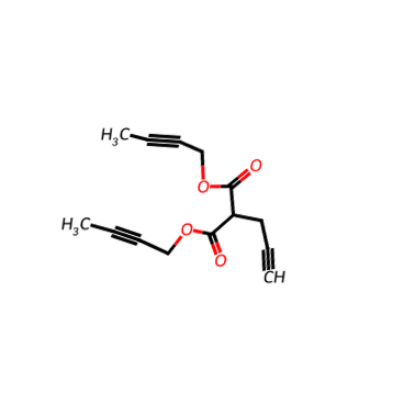 C#CCC(C(=O)OCC#CC)C(=O)OCC#CC